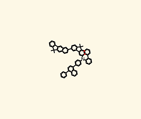 CC1(C)c2ccc(-c3ccc4cc5c(cc4c3)-c3ccccc3C5(C)C)cc2-c2cc(N(c3ccc(-c4ccc(-c5ccccc5)c5ccccc45)cc3)c3ccccc3-c3ccccc3)ccc21